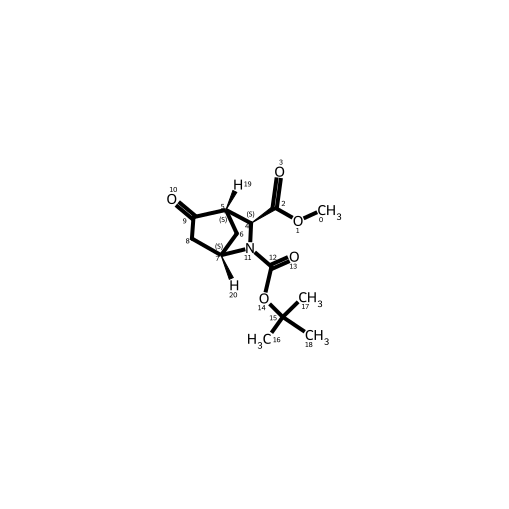 COC(=O)[C@@H]1[C@@H]2C[C@@H](CC2=O)N1C(=O)OC(C)(C)C